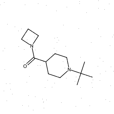 CC(C)(C)N1CCC(C(=O)N2CCC2)CC1